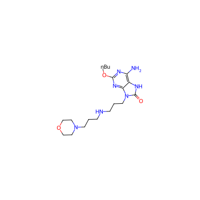 CCCCOc1nc(N)c2[nH]c(=O)n(CCCNCCCN3CCOCC3)c2n1